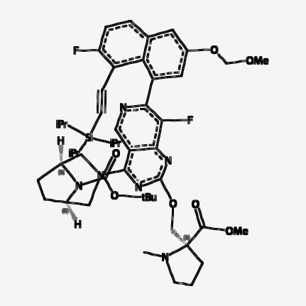 COCOc1cc(-c2ncc3c(N4C[C@H]5CC[C@@H](C4)N5C(=O)OC(C)(C)C)nc(OC[C@]4(C(=O)OC)CCCN4C)nc3c2F)c2c(C#C[Si](C(C)C)(C(C)C)C(C)C)c(F)ccc2c1